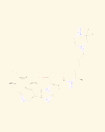 C=C/C(Cl)=C\C=C1/OC(C)C2=C(C(=O)N[C@H](C)CCCCN3CCNC4(CC4)C3)SC3=N[C@@](C)(c4ccc(Cl)nc4)C1N32